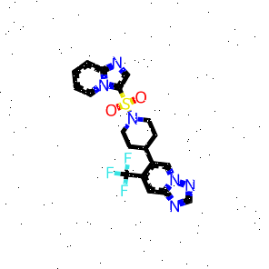 O=S(=O)(c1cnc2ccccn12)N1CCC(c2cn3ncnc3cc2C(F)(F)F)CC1